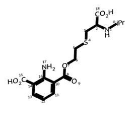 CC(C)NC(CSCCOC(=O)c1cccc(C(=O)O)c1N)C(=O)O